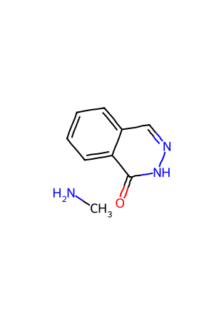 CN.O=c1[nH]ncc2ccccc12